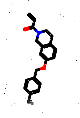 C=CC(=O)N1CCc2ccc(OCc3ccc(C(F)(F)F)cc3)cc2C1